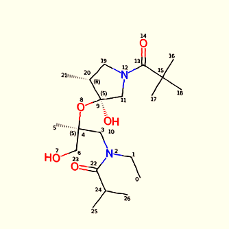 CCN(C[C@@](C)(CO)O[C@]1(O)CN(C(=O)C(C)(C)C)C[C@H]1C)C(=O)C(C)C